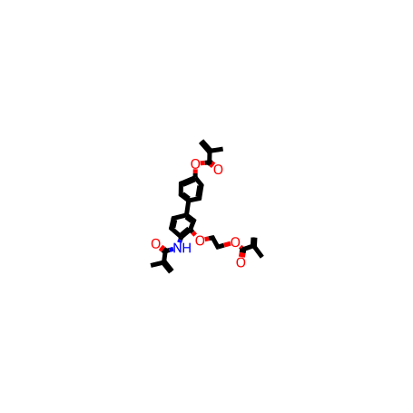 C=C(C)C(=O)Nc1ccc(-c2ccc(OC(=O)C(=C)C)cc2)cc1OCCOC(=O)C(=C)C